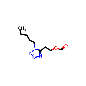 CCCCCn1nnnc1CCO[C]=O